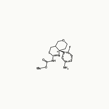 CC(C)(C)OC(=O)NC1=N[C@@]2(c3cc(N)ccc3F)CCOCC2CS1